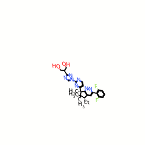 CC[C@H]1c2cc(-c3c(F)cccc3F)nnc2[C@](C)(c2ccnc(-n3cnc(C(CO)CO)n3)n2)C1(C)C